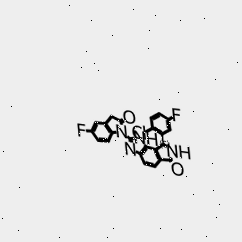 O=C1N[C@H](c2cc(F)ccc2Cl)c2c1ccc1nc(N3C(=O)Cc4cc(F)ccc43)[nH]c21